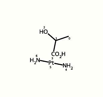 CC(O)C(=O)O.[NH2][Pt][NH2]